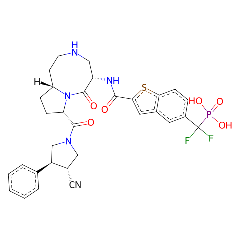 N#C[C@H]1CN(C(=O)[C@@H]2CC[C@@H]3CCNC[C@H](NC(=O)c4cc5cc(C(F)(F)P(=O)(O)O)ccc5s4)C(=O)N32)C[C@@H]1c1ccccc1